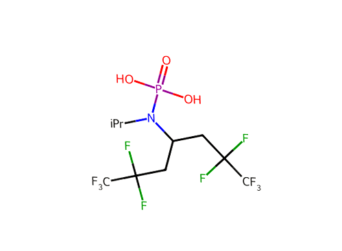 CC(C)N(C(CC(F)(F)C(F)(F)F)CC(F)(F)C(F)(F)F)P(=O)(O)O